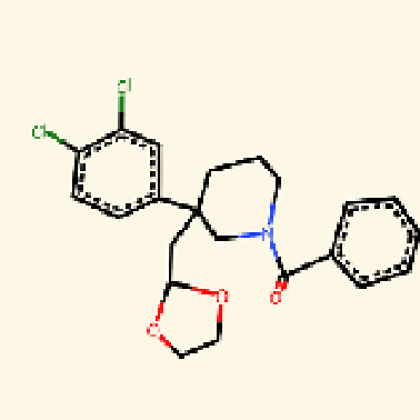 O=C(c1ccccc1)N1CCCC(CC2OCCO2)(c2ccc(Cl)c(Cl)c2)C1